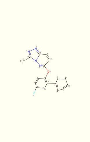 Fc1ccc(Oc2ccc3nnc(C(F)(F)F)n3n2)c(-c2ccccc2)c1